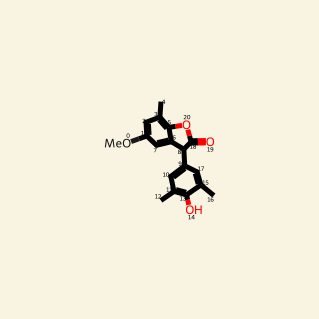 COc1cc(C)c2c(c1)C(c1cc(C)c(O)c(C)c1)C(=O)O2